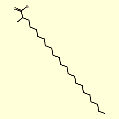 CCCCCCCCCCCCCCCCCCCCCC(I)C(=O)Br